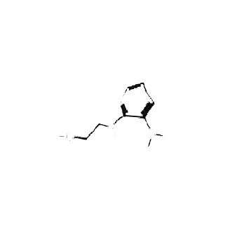 OCCNc1ncccc1B(O)O